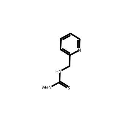 CNC(=S)NCc1ccccn1